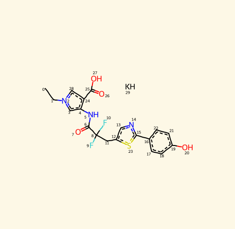 CCn1cc(NC(=O)C(F)(F)Cc2cnc(-c3ccc(O)cc3)s2)c(C(=O)O)c1.[KH]